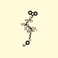 CC(S)(CCNC(=O)OCC1c2ccccc2-c2ccccc21)OCCC(C)(C)C(=O)NCCCCOc1ccc(Br)cc1